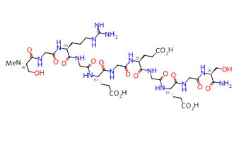 CN[C@@H](CO)C(=O)NCC(=O)N[C@@H](CCCNC(=N)N)C(=O)NCC(=O)N[C@@H](CCC(=O)O)C(=O)NCC(=O)N[C@@H](CCC(=O)O)C(=O)NCC(=O)N[C@@H](CCC(=O)O)C(=O)NCC(=O)N[C@@H](CO)C(N)=O